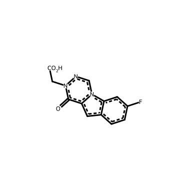 O=C(O)Cn1ncn2c(cc3ccc(F)cc32)c1=O